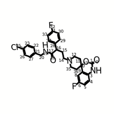 O=C1Nc2ccc(F)cc2C2(CCN(CCC(C(=O)NCc3ccc(Cl)cc3)c3ccc(F)cc3)CC2)O1